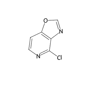 Clc1nccc2ocnc12